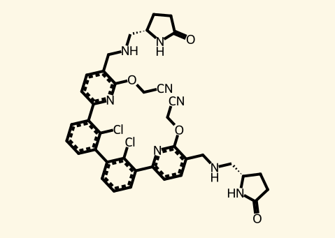 N#CCOc1nc(-c2cccc(-c3cccc(-c4ccc(CNC[C@@H]5CCC(=O)N5)c(OCC#N)n4)c3Cl)c2Cl)ccc1CNC[C@@H]1CCC(=O)N1